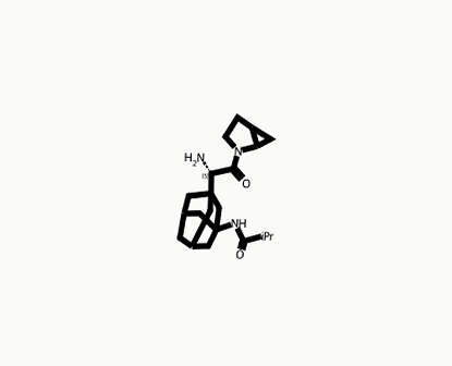 CC(C)C(=O)NC12CC3CC(C1)CC([C@H](N)C(=O)N1CCC4CC41)(C3)C2